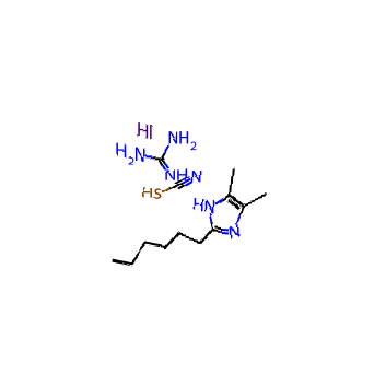 CCCCCCc1nc(C)c(C)[nH]1.I.N#CS.N=C(N)N